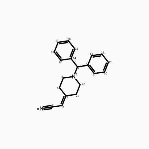 N#CC=C1CCN(C(c2ccccc2)c2ccccc2)CC1